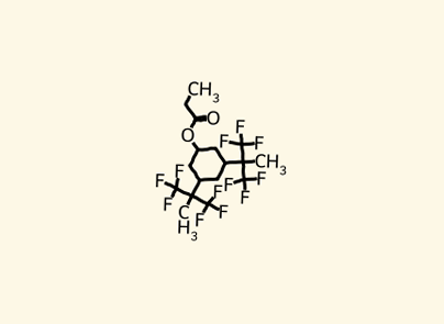 CCC(=O)OC1CC(C(C)(C(F)(F)F)C(F)(F)F)CC(C(C)(C(F)(F)F)C(F)(F)F)C1